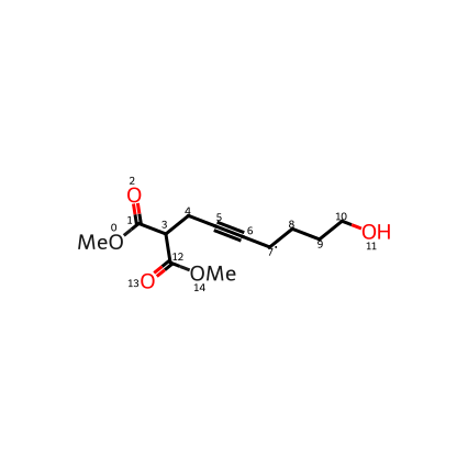 COC(=O)C(CC#C[CH]CCCO)C(=O)OC